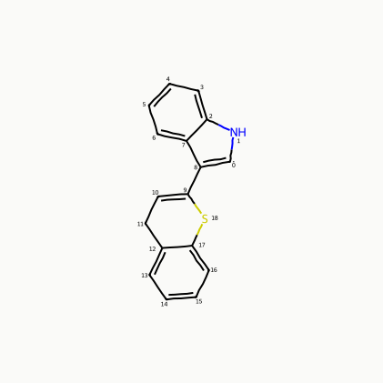 [c]1[nH]c2ccccc2c1C1=CCc2ccccc2S1